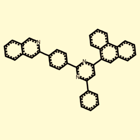 c1ccc(-c2cc(-c3cc4ccccc4c4ccccc34)nc(-c3ccc(-c4cc5ccccc5cn4)cc3)n2)cc1